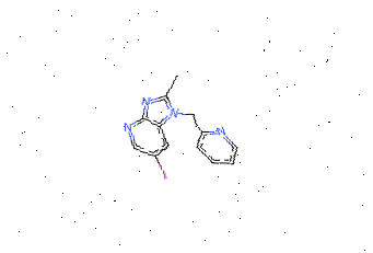 Cc1nc2ncc(I)cc2n1Cc1ccccn1